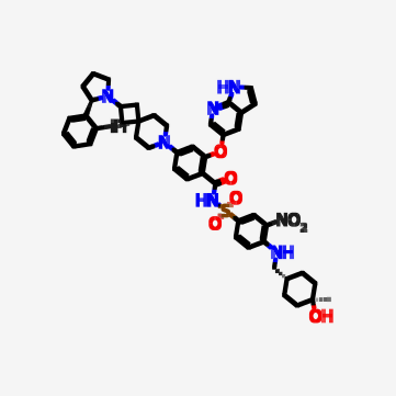 CC(C)c1ccccc1[C@H]1CCCN1C1CC2(CCN(c3ccc(C(=O)NS(=O)(=O)c4ccc(NC[C@H]5CC[C@](C)(O)CC5)c([N+](=O)[O-])c4)c(Oc4cnc5[nH]ccc5c4)c3)CC2)C1